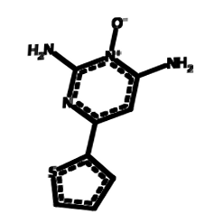 Nc1cc(-c2cccs2)nc(N)[n+]1[O-]